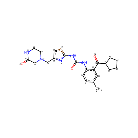 Cc1ccc(NC(=O)Nc2nc(CN3CCNC(=O)C3)cs2)c(C(=O)C2CCCC2)c1